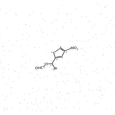 O=COC(Br)c1cc([N+](=O)[O-])cs1